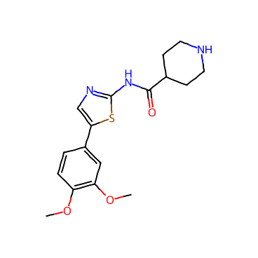 COc1ccc(-c2cnc(NC(=O)C3CCNCC3)s2)cc1OC